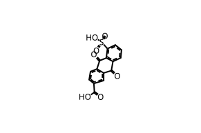 O=C(O)c1ccc2c(c1)C(=O)c1cccc(S(=O)(=O)O)c1C2=O